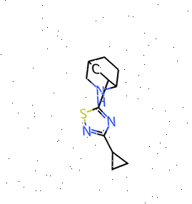 C1CC2NCC1CC2c1nc(C2CC2)ns1